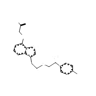 C[C@H](Cc1c[nH]c2c(OCC(=O)O)cccc12)NC[C@H](O)c1ccc(O)cc1